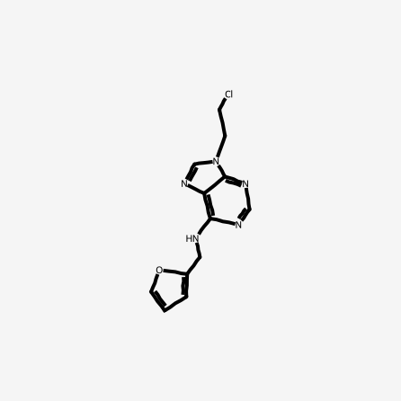 ClCCn1cnc2c(NCc3ccco3)ncnc21